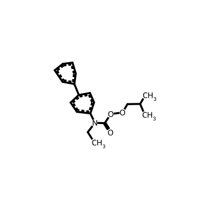 CCN(C(=O)OOCC(C)C)c1ccc(-c2ccccc2)cc1